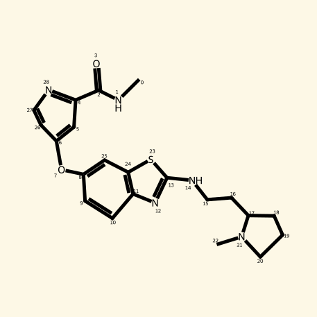 CNC(=O)c1cc(Oc2ccc3nc(NCCC4CCCN4C)sc3c2)ccn1